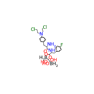 BC(O)(O)C(B)(O)OC(=O)C(Cc1ccc(F)cc1)NC(=O)C(N)Cc1ccc(N(CCCl)CCCl)cc1